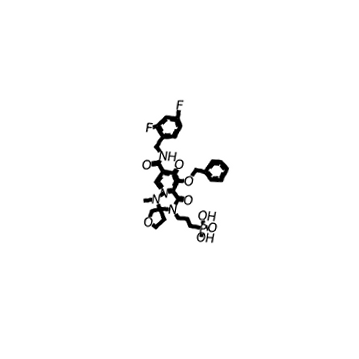 CN1n2cc(C(=O)NCc3ccc(F)cc3F)c(=O)c(OCc3ccccc3)c2C(=O)N(CCCP(=O)(O)O)C12CCOC2